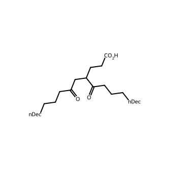 CCCCCCCCCCCCCC(=O)CC(CCC(=O)O)C(=O)CCCCCCCCCCCCC